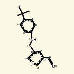 CC(C)(C)c1ccc(NSc2cccc(C=O)c2)cc1